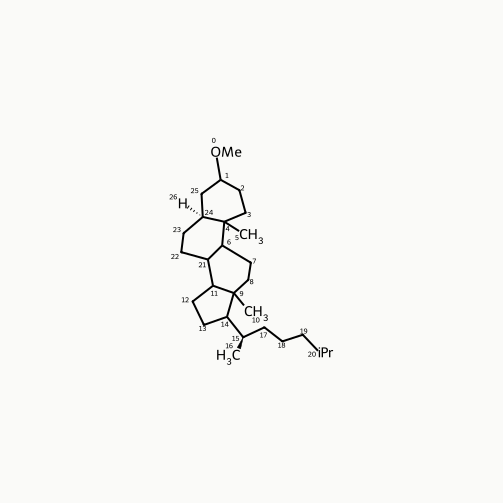 COC1CCC2(C)C3CCC4(C)C(CCC4[C@H](C)CCCC(C)C)C3CC[C@H]2C1